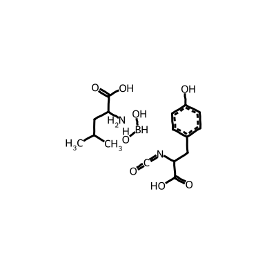 CC(C)CC(N)C(=O)O.O=C=NC(Cc1ccc(O)cc1)C(=O)O.OBO